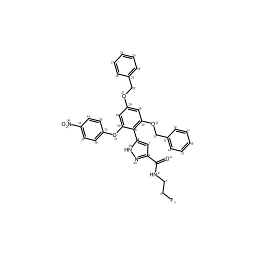 O=C(NCCF)c1cc(-c2c(OCc3ccccc3)cc(OCc3ccccc3)cc2Oc2ccc([N+](=O)[O-])cc2)[nH]n1